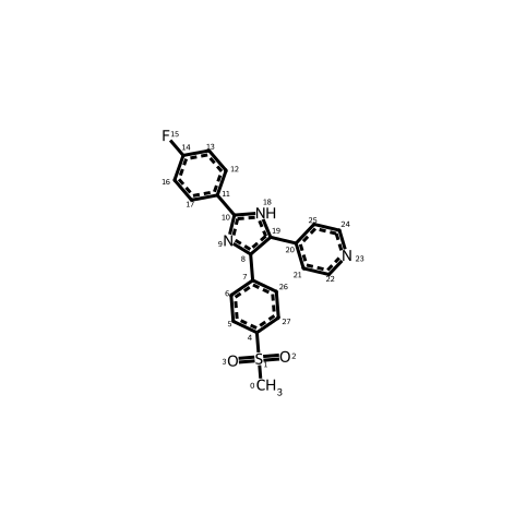 CS(=O)(=O)c1ccc(-c2nc(-c3ccc(F)cc3)[nH]c2-c2ccncc2)cc1